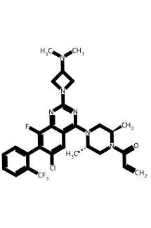 C=CC(=O)N1C[C@H](C)N(c2nc(N3CC(N(C)C)C3)nc3c(F)c(-c4ccccc4C(F)(F)F)c(Cl)cc23)C[C@H]1C